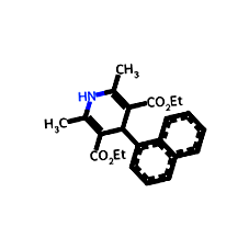 CCOC(=O)C1=C(C)NC(C)=C(C(=O)OCC)C1c1cccc2ccccc12